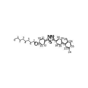 CCCCCCCCOc1ccc(-c2nnc(-c3ccc(-c4cc(C)ccc4C)cc3)s2)cc1